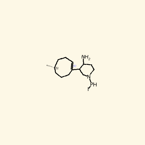 C[C@@H]1CC/C=C(/C2CN(PI)CCC2N)CCC1